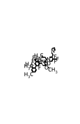 CCOC(=O)C[C@H](NC(=O)C(CC(C)C)n1cc(CCN2CCC2)c(C(F)(F)F)cc1=O)c1c(F)c(-c2ccc(C)cc2C)c(C)c(C(F)(F)F)c1F